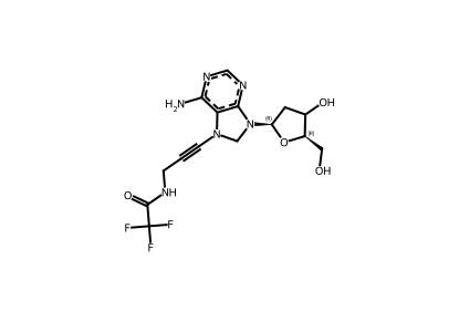 Nc1ncnc2c1N(C#CCNC(=O)C(F)(F)F)CN2[C@H]1CC(O)[C@@H](CO)O1